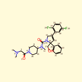 CN(C)CC(=O)N1CCC(N(C)C(=O)N2CC(c3cc(F)ccc3F)=CC2(CO)c2ccccc2)CC1